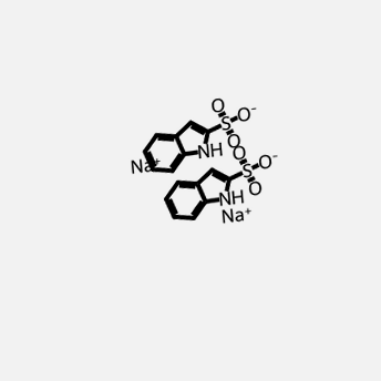 O=S(=O)([O-])c1cc2ccccc2[nH]1.O=S(=O)([O-])c1cc2ccccc2[nH]1.[Na+].[Na+]